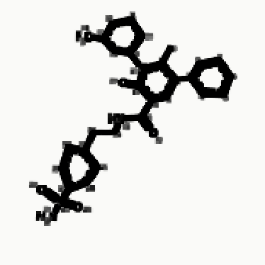 Cc1c(-c2ccccc2)cc(C(=O)NCCc2ccc(S(N)(=O)=O)cc2)c(=O)n1-c1cccc(C(F)(F)F)c1